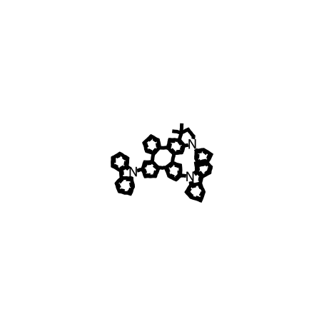 CC1(C)CCN(c2ccccc2)c2cc3c(cc21)-c1ccccc1-c1cc(-n2c4ccccc4c4ccccc42)ccc1-c1ccc(-n2c4ccccc4c4ccccc42)cc1-3